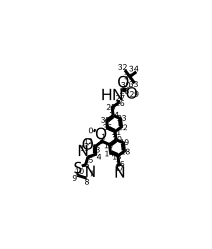 COC(c1cc(C2=NCCS2)no1)c1cc(C#N)ccc1-c1ccc(CCNC(=O)OC(C)(C)C)cc1